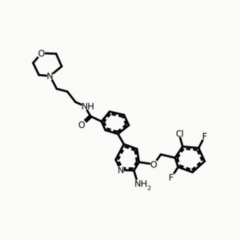 Nc1ncc(-c2cccc(C(=O)NCCCN3CCOCC3)c2)cc1OCc1c(F)ccc(F)c1Cl